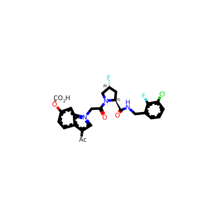 CC(=O)c1cn(CC(=O)N2C[C@H](F)C[C@H]2C(=O)NCc2cccc(Cl)c2F)c2cc(OC(=O)O)ccc12